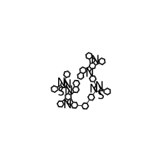 c1ccc(-c2nc(-n3c4cc5c6ccccc6n6c7ccc(-c8cccc(-c9ccc(-c%10nc(-c%11ccc(-n%12c%13cc%14c%15ccccc%15n%15c%16ccccc%16c(c%13c%13ccc%16ccccc%16c%13%12)c%14%15)cc%11)nc%11c%10sc%10ccccc%10%11)cc9)c8)cc7c(c4c4ccc7ccccc7c43)c56)c3sc4ccccc4c3n2)cc1